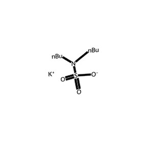 CCCCN(CCCC)S(=O)(=O)[O-].[K+]